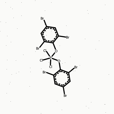 ClP(Cl)(Cl)(Oc1c(Br)cc(Br)cc1Br)Oc1c(Br)cc(Br)cc1Br